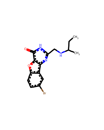 CCC(C)NCc1nc2c(oc3ccc(Br)cc32)c(=O)[nH]1